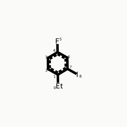 CCc1ccc(F)cc1I